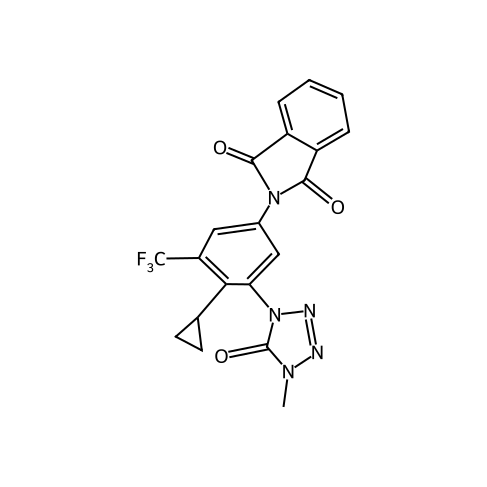 Cn1nnn(-c2cc(N3C(=O)c4ccccc4C3=O)cc(C(F)(F)F)c2C2CC2)c1=O